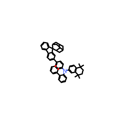 CC1(C)CCC(C)(C)c2cc(N(c3ccc(-c4ccc5c(c4)C4(c6ccccc6-5)C5CC6CC(C5)CC4C6)cc3)c3ccccc3-c3ccccc3)ccc21